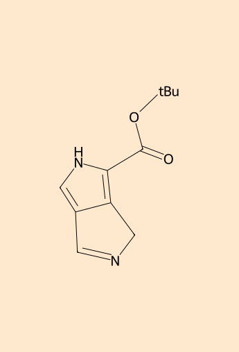 CC(C)(C)OC(=O)c1[nH]cc2c1CN=C2